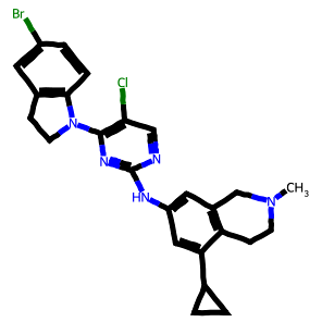 CN1CCc2c(cc(Nc3ncc(Cl)c(N4CCc5cc(Br)ccc54)n3)cc2C2CC2)C1